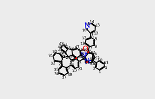 c1ccc(-c2cc(-c3ccc(-c4cccnc4)cc3)nc(-c3ccc4c(c3)C3(c5ccccc5-c5ccccc5-4)c4ccccc4-c4cc5oc6ccccc6c5cc43)n2)cc1